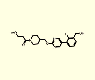 COCCC(=O)N1CCC(COc2ncc(-c3cccc(CO)c3F)cn2)CC1